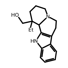 CCC1(CO)CCCN2CCc3c([nH]c4ccccc34)C21